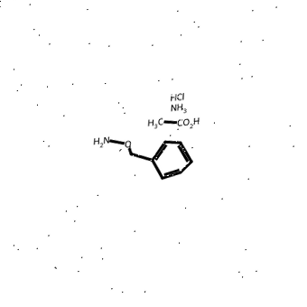 CC(=O)O.Cl.N.NOCc1ccccc1